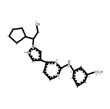 N#CCC(C1CCCC1)n1cc(-c2ccnc(Nc3cccc(C(=O)O)c3)n2)cn1